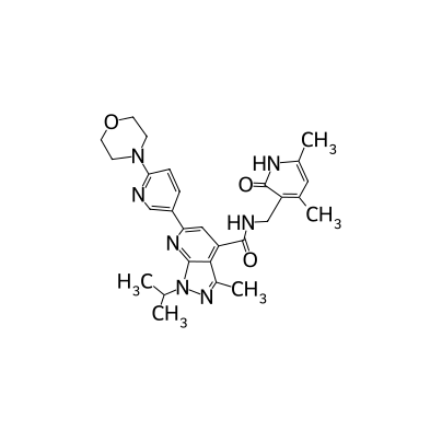 Cc1cc(C)c(CNC(=O)c2cc(-c3ccc(N4CCOCC4)nc3)nc3c2c(C)nn3C(C)C)c(=O)[nH]1